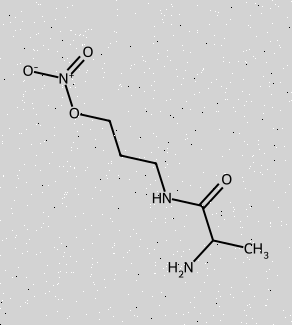 CC(N)C(=O)NCCCO[N+](=O)[O-]